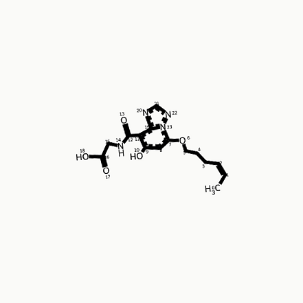 C/C=C\CCCOc1cc(O)c(C(=O)NCC(=O)O)c2ncnn12